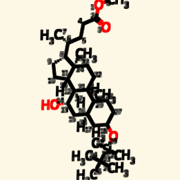 COC(=O)CC[C@@H](C)[C@H]1CC[C@H]2[C@@H]3[C@@H](O)C[C@@H]4CC(O[Si](C)(C)C(C)(C)C)CC[C@]4(C)[C@H]3CC[C@]12C